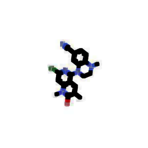 Cc1cc2c(N3CCN(C)c4ccc(C#N)cc43)nc(Cl)cc2n(C)c1=O